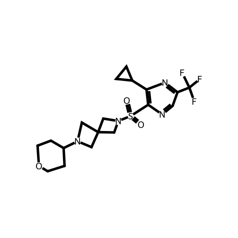 O=S(=O)(c1ncc(C(F)(F)F)nc1C1CC1)N1CC2(CN(C3CCOCC3)C2)C1